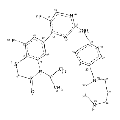 CC(C)N1C(=O)CSc2c(F)cc(-c3nc(Nc4ccc(N5CCCNCC5)cn4)ncc3F)cc21